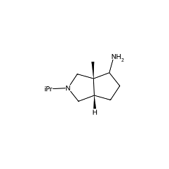 CC(C)N1C[C@H]2CCC(N)[C@@]2(C)C1